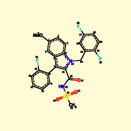 COc1ccc2c(c1)c(-c1ccccc1F)c(C(=O)NS(C)(=O)=O)n2Cc1cc(F)ccc1F